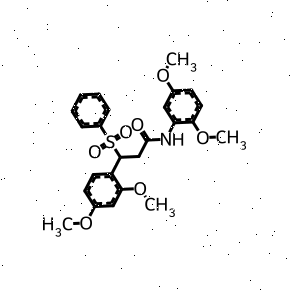 COc1ccc(OC)c(NC(=O)CC(c2ccc(OC)cc2OC)S(=O)(=O)c2ccccc2)c1